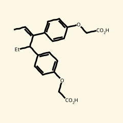 CC=C(c1ccc(OCC(=O)O)cc1)C(CC)c1ccc(OCC(=O)O)cc1